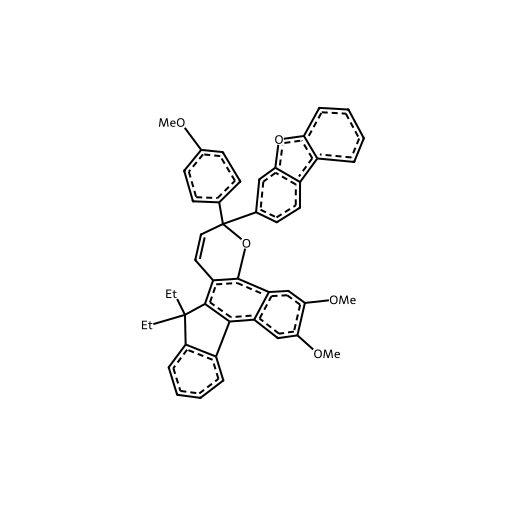 CCC1(CC)c2ccccc2-c2c1c1c(c3cc(OC)c(OC)cc23)OC(c2ccc(OC)cc2)(c2ccc3c(c2)oc2ccccc23)C=C1